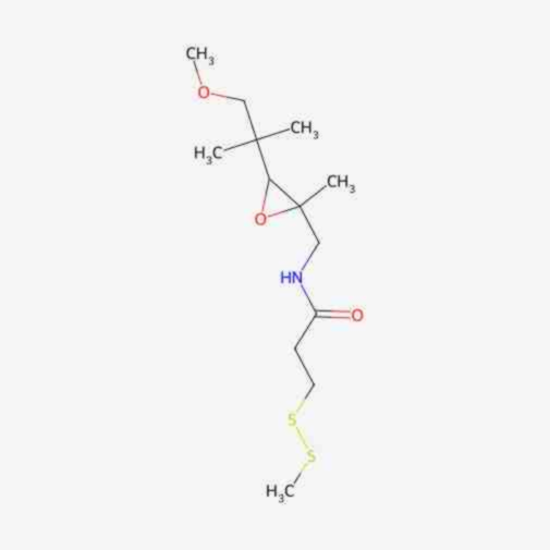 COCC(C)(C)C1OC1(C)CNC(=O)CCSSC